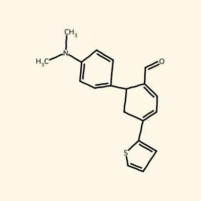 CN(C)c1ccc(C2CC(c3cccs3)=CC=C2C=O)cc1